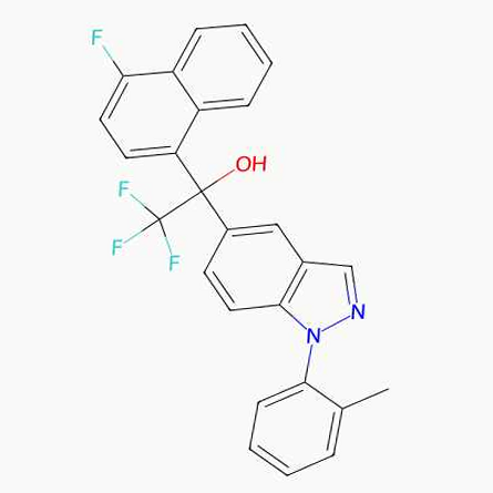 Cc1ccccc1-n1ncc2cc(C(O)(c3ccc(F)c4ccccc34)C(F)(F)F)ccc21